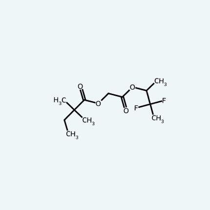 CCC(C)(C)C(=O)OCC(=O)OC(C)C(C)(F)F